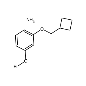 CCOc1cccc(OCC2CCC2)c1.N